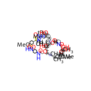 COc1ccc(-c2sc(NC(=O)C(C)(C)C)nc2C)cc1S(=O)(=O)Nc1ccc(NC(=O)CCC[C@@H]2/C=C(\C)C[C@H](C)C[C@H](OC)[C@H]3O[C@@](O)(C(O)C(=O)N4CCCC[C@H]4C(=O)O[C@H](/C(C)=C/[C@@H]4CC[C@@H](O)[C@H](OC)C4)[C@H](C)[C@@H](O)CC2=O)[C@H](C)C[C@@H]3OC)cc1